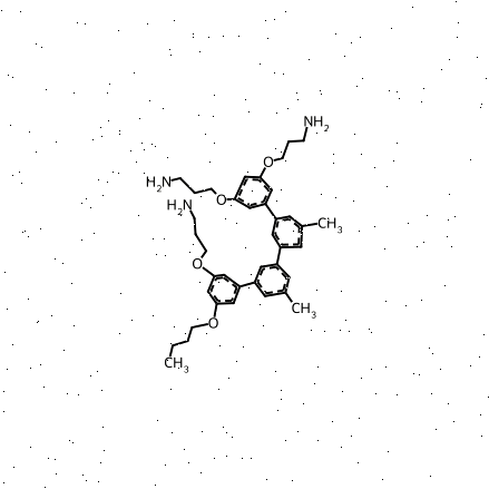 CCCCOc1cc(OCCCN)cc(-c2cc(C)cc(-c3cc(C)cc(-c4cc(OCCCN)cc(OCCCN)c4)c3)c2)c1